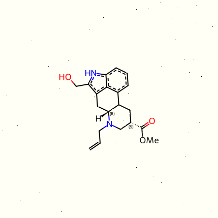 C=CCN1C[C@@H](C(=O)OC)CC2c3cccc4[nH]c(CO)c(c34)C[C@H]21